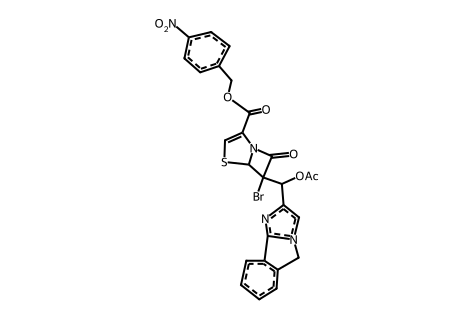 CC(=O)OC(c1cn2c(n1)-c1ccccc1C2)C1(Br)C(=O)N2C(C(=O)OCc3ccc([N+](=O)[O-])cc3)=CSC21